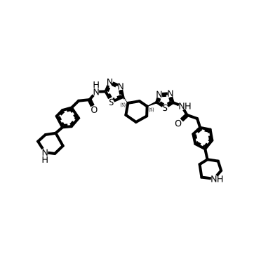 O=C(Cc1ccc(C2CCNCC2)cc1)Nc1nnc([C@H]2CCC[C@H](c3nnc(NC(=O)Cc4ccc(C5CCNCC5)cc4)s3)C2)s1